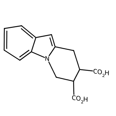 O=C(O)C1Cc2cc3ccccc3n2CC1C(=O)O